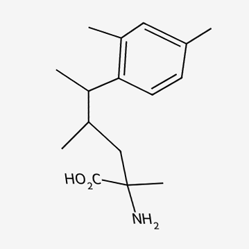 Cc1ccc(C(C)C(C)CC(C)(N)C(=O)O)c(C)c1